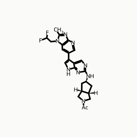 CC(=O)N1C[C@H]2C[C@H](Nc3ncc4c(-c5cnc6nc(C)n(CC(F)F)c6c5)c[nH]c4n3)C[C@H]2C1